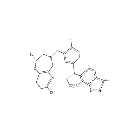 CC[C@@H]1CN(Cc2cc([C@@H](CC(=O)O)c3ccc4c(nnn4C)c3C)ccc2C)CC2=C(CCC(O)=N2)O1